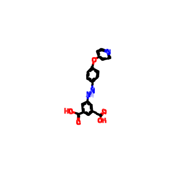 O=C(O)c1cc(/N=N/c2ccc(Oc3ccncc3)cc2)cc(C(=O)O)c1